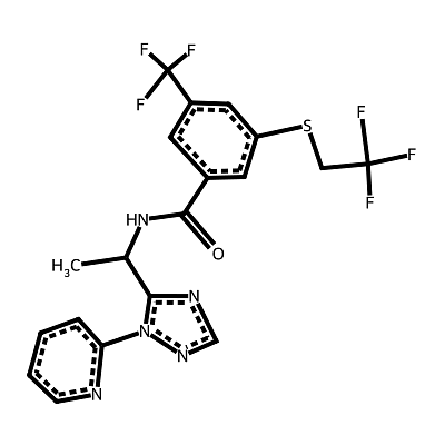 CC(NC(=O)c1cc(SCC(F)(F)F)cc(C(F)(F)F)c1)c1ncnn1-c1ccccn1